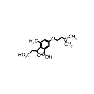 Cc1cc(OCCN(C)C)cc2c1C(CC(=O)O)OB2O